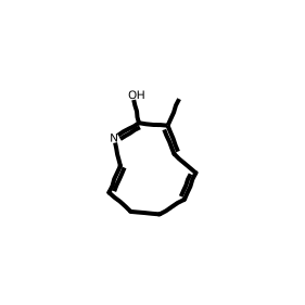 CC1=C\C=C/CC/C=C/N=C\1O